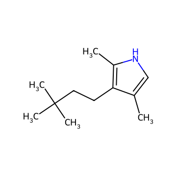 Cc1c[nH]c(C)c1CCC(C)(C)C